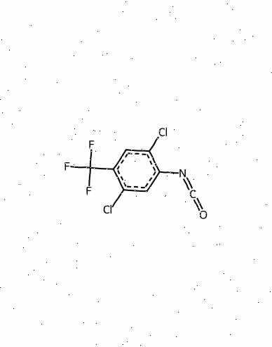 O=C=Nc1cc(Cl)c(C(F)(F)F)cc1Cl